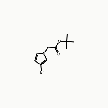 CC(C)(C)OC(=O)Cn1cnc(Br)c1